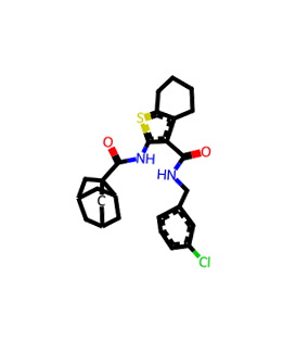 O=C(NCc1cccc(Cl)c1)c1c(NC(=O)C23CC4CC(CC2C4)C3)sc2c1CCCC2